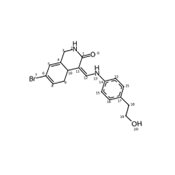 O=C1NCC2=CC(Br)=CCC2C1=CNc1ccc(CCO)cc1